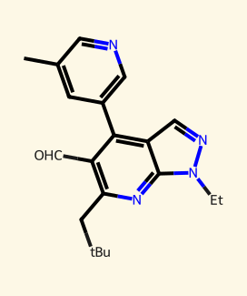 CCn1ncc2c(-c3cncc(C)c3)c(C=O)c(CC(C)(C)C)nc21